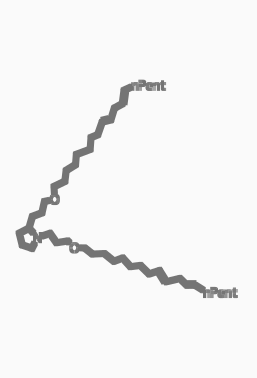 CCCCCC=CCC=CCCCCCCCCOCCCC1CCCN1CCCOCCCCCCCCC=CCC=CCCCCC